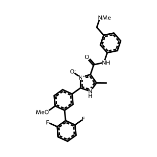 CNCc1cccc(NC(=O)c2c(C)[nH]c(-c3ccc(OC)c(-c4c(F)cccc4F)c3)[n+]2[O-])c1